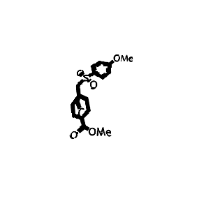 COC(=O)C12CCC(CS(=O)(=O)c3ccc(OC)cc3)(CC1)CC2